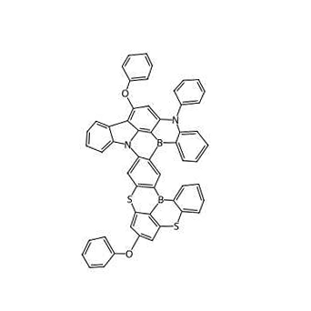 c1ccc(Oc2cc3c4c(c2)Sc2cc5c(cc2B4c2ccccc2S3)B2c3ccccc3N(c3ccccc3)c3cc(Oc4ccccc4)c4c6ccccc6n-5c4c32)cc1